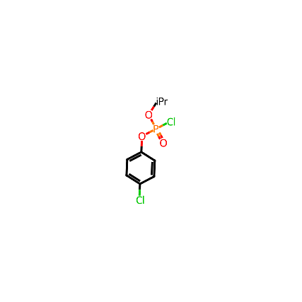 CC(C)OP(=O)(Cl)Oc1ccc(Cl)cc1